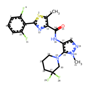 Cc1sc(-c2c(F)cccc2F)nc1C(=O)Nc1cnn(C)c1N1CCCC(F)(F)C1